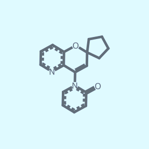 O=c1ccccn1C1=CC2(CCCC2)Oc2cccnc21